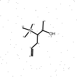 [CH2]C(O)C(CC=C)[N+](C)(C)C